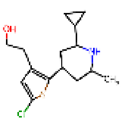 CC1CC(c2sc(Cl)cc2CCO)CC(C2CC2)N1